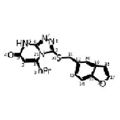 CCCc1cc(=O)[nH]c2nnc(SCc3ccc4occc4c3)n12